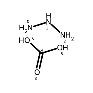 NNN.O=C(O)O